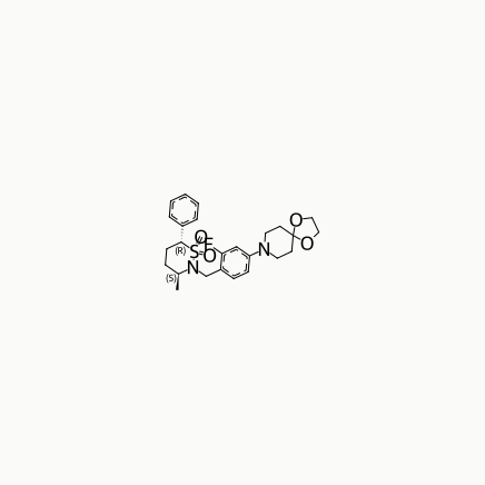 C[C@H]1CC[C@H](c2ccccc2)S(=O)(=O)N1Cc1ccc(N2CCC3(CC2)OCCO3)cc1F